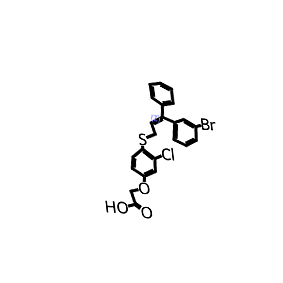 O=C(O)COc1ccc(SC/C=C(/c2ccccc2)c2cccc(Br)c2)c(Cl)c1